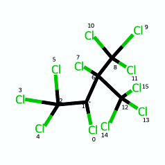 Cl[C](C(Cl)(Cl)Cl)C(Cl)(C(Cl)(Cl)Cl)C(Cl)(Cl)Cl